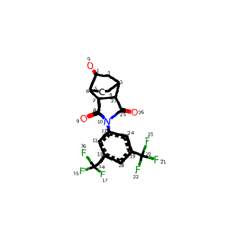 O=C1CC2CCC1C1C(=O)N(c3cc(C(F)(F)F)cc(C(F)(F)F)c3)C(=O)C21